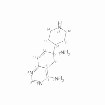 Nc1ncnc2c1CC(N)(C1CCNCC1)C=C2